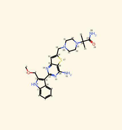 COCc1[nH]c2ccccc2c1-c1nc(N)c2sc(CN3CCN(C(C)(C)C(N)=O)CC3)cc2n1